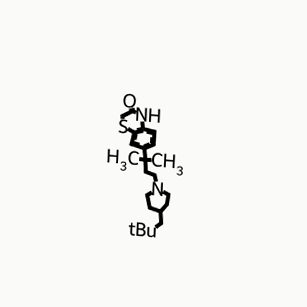 CC(C)(C)CC1CCN(CCC(C)(C)c2ccc3c(c2)SCC(=O)N3)CC1